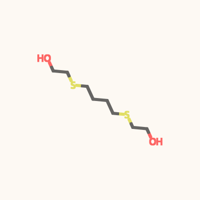 OCCSCCCCSCCO